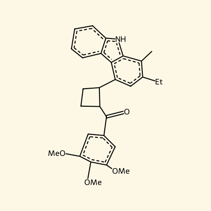 CCc1cc(C2CCC2C(=O)c2cc(OC)c(OC)c(OC)c2)c2c([nH]c3ccccc32)c1C